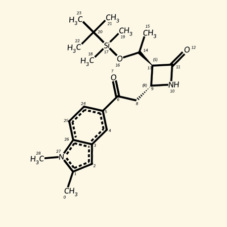 Cc1cc2cc(C(=O)C[C@H]3NC(=O)[C@@H]3C(C)O[Si](C)(C)C(C)(C)C)ccc2n1C